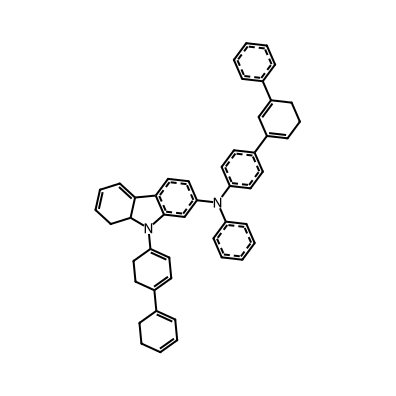 C1=CCCC(C2=CC=C(N3c4cc(N(c5ccccc5)c5ccc(C6=CCCC(c7ccccc7)=C6)cc5)ccc4C4=CC=CCC43)CC2)=C1